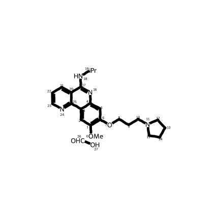 COc1cc2c(cc1OCCCN1CCCC1)nc(NC(C)C)c1cccnc12.O=CO